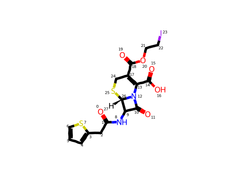 O=C(Cc1cccs1)NC1C(=O)N2C(C(=O)O)=C(C(=O)OCCI)CS[C@@H]12